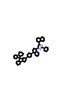 c1ccc(-c2nc(-c3cccc4ccccc34)cc(-c3ccc(-c4ccc(-c5ccc6c(c5)C(c5ccccc5)(c5ccccc5)c5ccccc5-6)cc4)c4ccccc34)n2)cc1